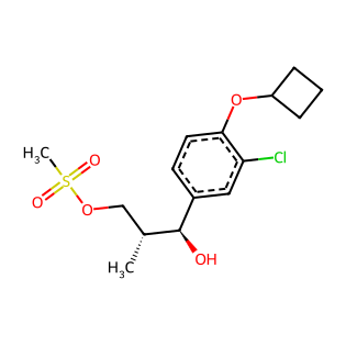 C[C@H](COS(C)(=O)=O)[C@H](O)c1ccc(OC2CCC2)c(Cl)c1